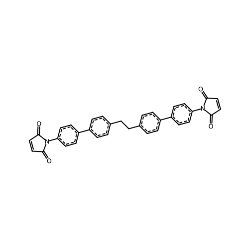 O=C1C=CC(=O)N1c1ccc(-c2ccc(CCc3ccc(-c4ccc(N5C(=O)C=CC5=O)cc4)cc3)cc2)cc1